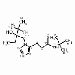 CC[C@@](O)(Cn1nncc1CCC(=O)NC(C)(C)C)C(C)(C)C